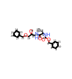 CCC(C)C(NC(=O)OCc1ccccc1)C(=O)NCC(=O)COCc1ccccc1